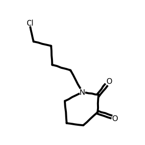 O=C1CCCN(CCCCCl)C1=O